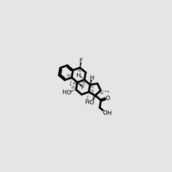 C[C@H]1C[C@H]2[C@@H]3C[C@H](F)C4=CC=C=C[C@]4(C)[C@@]3(F)[C@@H](O)C[C@]2(C)[C@@]1(O)C(=O)CO